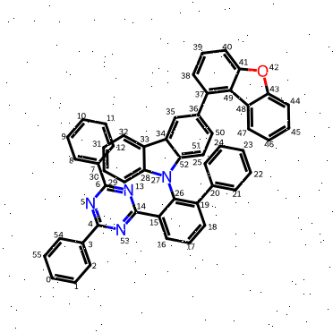 c1ccc(-c2nc(-c3ccccc3)nc(-c3cccc(-c4ccccc4)c3-n3c4ccccc4c4cc(-c5cccc6oc7ccccc7c56)ccc43)n2)cc1